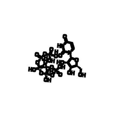 O=P(O)(O)OP(=O)(O)OP(=O)(O)OP(=O)(O)OP(=O)(O)O.O=c1ccn([C@@H]2O[C@H](CO)[C@@H](O)[C@H]2O)c(=O)[nH]1